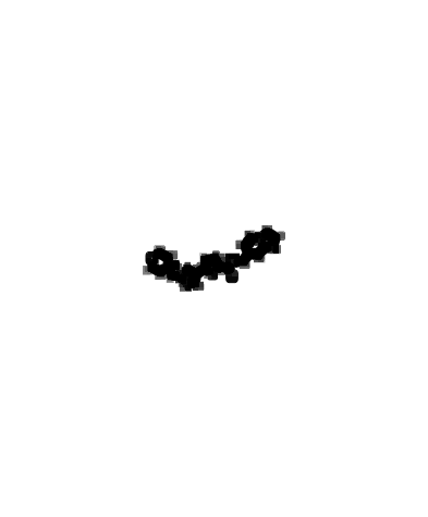 CC1(Cn2cc(-c3ccc(C(=O)NCc4ccn5ccnc5c4)s3)cn2)CCOCC1